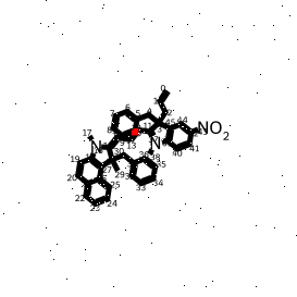 C=CCC1(Cc2ccccc2)C(/C=C/C=C2/N(C)c3ccc4ccccc4c3C2(C)Cc2ccccc2)=[N+](C)c2ccc([N+](=O)[O-])cc21